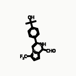 CC(C)(O)c1ccc(C2=Cn3c(ccc3C(F)(F)F)C(C=O)N2)cc1